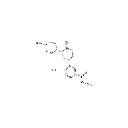 COC(=O)c1cccc(N2CCN(C)C(N3CCC(N)CC3)C2)c1.Cl